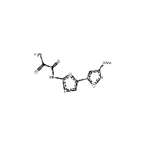 COc1cc(-c2csc(NC(=O)C(N)=O)n2)on1